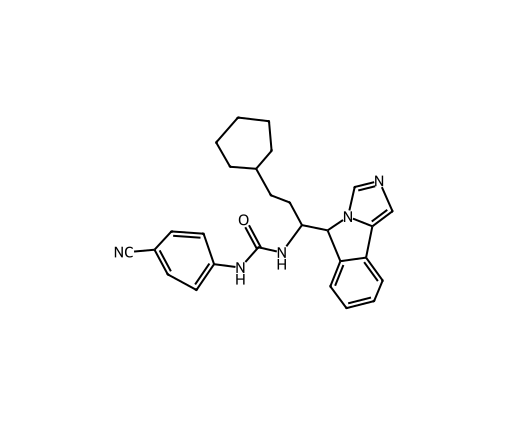 N#Cc1ccc(NC(=O)NC(CCC2CCCCC2)C2c3ccccc3-c3cncn32)cc1